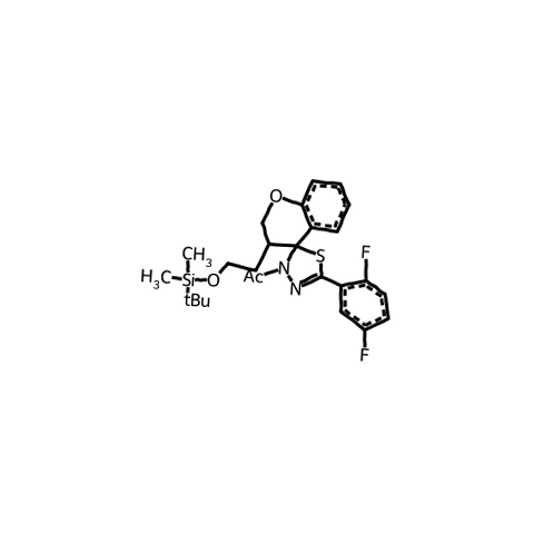 CC(=O)N1N=C(c2cc(F)ccc2F)SC12c1ccccc1OCC2CCO[Si](C)(C)C(C)(C)C